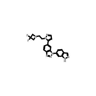 FC1(F)CN(CCn2nccc2-c2ccc3nnn(-c4ccc5cn[nH]c5c4)c3c2)C1